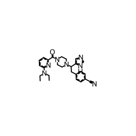 CCN(CC)c1cccc(C(=O)N2CCN(C(Cc3ccc(C#N)cc3)c3cnc[nH]3)CC2)n1